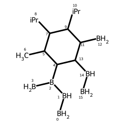 BBB(B)C1C(C)C(C(C)C)C(C(C)C)C(B)C1BB